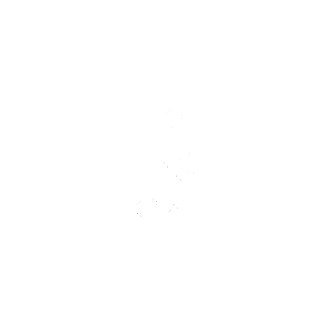 Cc1nc(OCc2ccc(F)cc2F)c(Br)c(=O)n1Cc1cnc(CN(C)C(=O)O)cn1